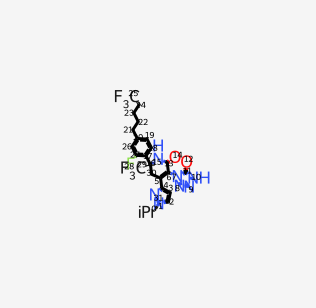 CC(C)n1ccc(C2=C(n3nn[nH]c3=O)C(=O)N[C@@](c3ccc(CCCCC(F)(F)F)cc3F)(C(F)(F)F)C2)n1